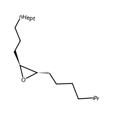 CCCCCCCCCC[C@@H]1O[C@H]1CCCCC(C)C